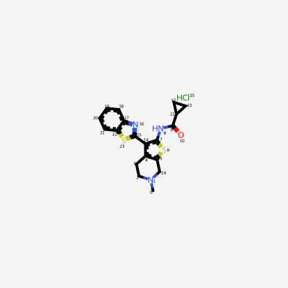 CN1CCc2c(sc(NC(=O)C3CC3)c2-c2nc3ccccc3s2)C1.Cl